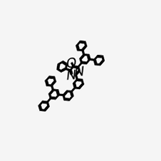 c1ccc(-c2cc(-c3ccccc3)cc(-c3cccc(-c4cccc(-c5nc(-c6cc(-c7ccccc7)cc(-c7ccccc7)c6)c6oc7ccccc7c6n5)c4)c3)c2)cc1